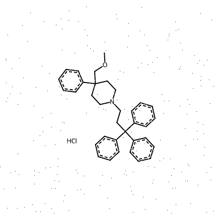 COCC1(c2ccccc2)CCN(CCC(c2ccccc2)(c2ccccc2)c2ccccc2)CC1.Cl